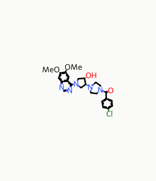 COc1cc2ncnc(N3C[C@H](O)[C@@H](N4CCN(C(=O)c5ccc(Cl)cc5)CC4)C3)c2cc1OC